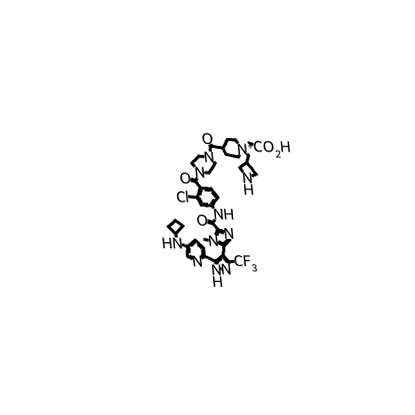 Cn1c(-c2c(C(F)(F)F)n[nH]c2-c2ccc(NC3CCC3)cn2)cnc1C(=O)Nc1ccc(C(=O)N2CCN(C(=O)C3CC[N+](CC(=O)O)(CC4CNC4)CC3)CC2)c(Cl)c1